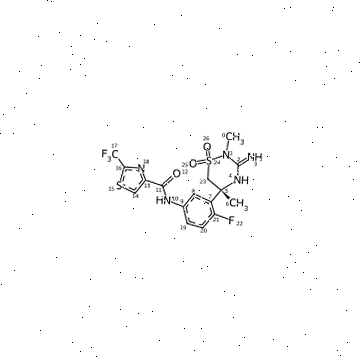 CN1C(=N)N[C@](C)(c2cc(NC(=O)c3csc(C(F)(F)F)n3)ccc2F)CS1(=O)=O